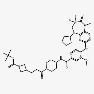 COc1cc(C(=O)NC2CCN(C(=O)CCC3CN(C(=O)OC(C)(C)C)C3)CC2)ccc1Nc1ncc2c(n1)N(C1CCCC1)CC(F)(F)C(=O)N2C